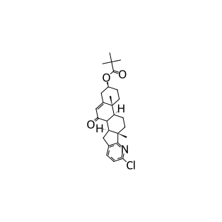 CC(C)(C)C(=O)O[C@H]1CC[C@@]2(C)C(=CC(=O)C3[C@@H]2CC[C@]2(C)c4nc(Cl)ccc4C[C@@H]32)C1